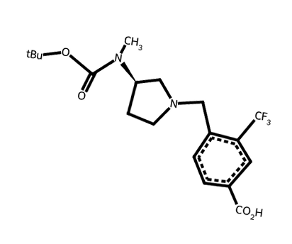 CN(C(=O)OC(C)(C)C)[C@@H]1CCN(Cc2ccc(C(=O)O)cc2C(F)(F)F)C1